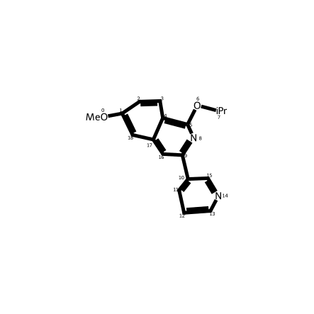 COc1ccc2c(OC(C)C)nc(-c3cccnc3)cc2c1